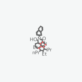 C=C(C1=CC=CCC2=C1/C(=C\C)C(=O)N(c1ccc3c(c1)C=CCC3)C2O)C(C(C)C)C(CC)C(CCC)C(CC)c1cccnc1